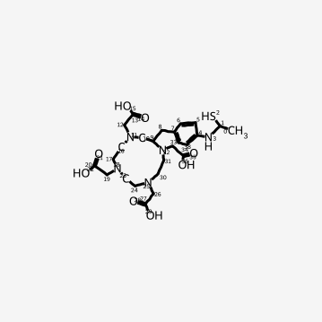 CC(S)Nc1ccc(CC2CN(CC(=O)O)CCN(CC(=O)O)CCN(CC(=O)O)CCN2CC(=O)O)cc1